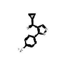 O=C(c1cnoc1-c1ccc(C(F)(F)F)cc1)C1CC1